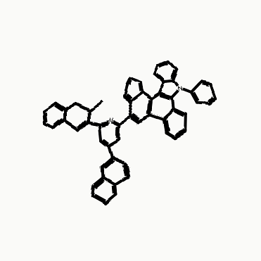 CC1Cc2ccccc2C=C1c1cc(-c2ccc3ccccc3c2)cc(-c2cc3c4ccccc4c4c(c5ccccc5n4-c4ccccc4)c3c3ccccc23)n1